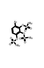 CCCCS(=O)(=O)Oc1ccc(C(C)=O)c(OS(=O)(=O)CCCC)c1OS(=O)(=O)CCCC